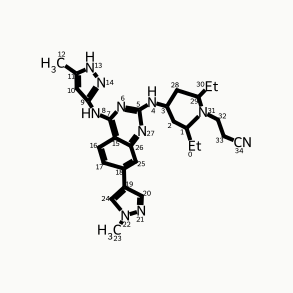 CCC1CC(Nc2nc(Nc3cc(C)[nH]n3)c3ccc(-c4cnn(C)c4)cc3n2)CC(CC)N1CCC#N